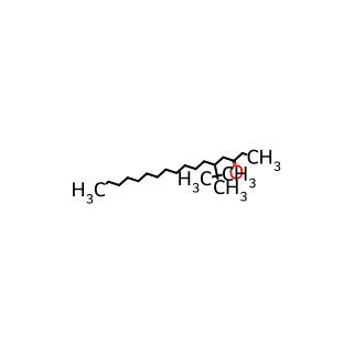 CCCCCCCCCCCCC(CC(=O)CC)C(C)(C)C